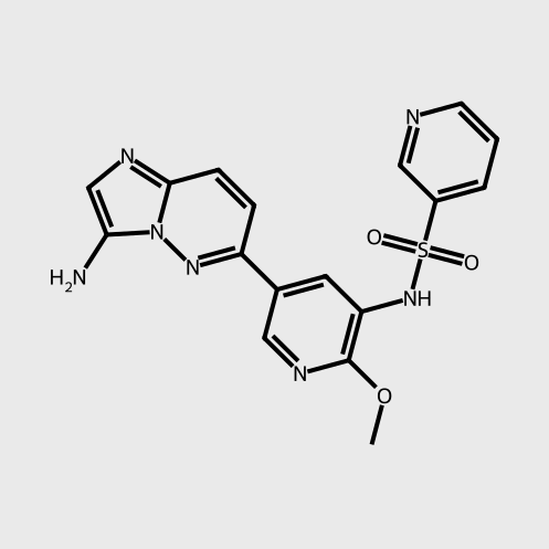 COc1ncc(-c2ccc3ncc(N)n3n2)cc1NS(=O)(=O)c1cccnc1